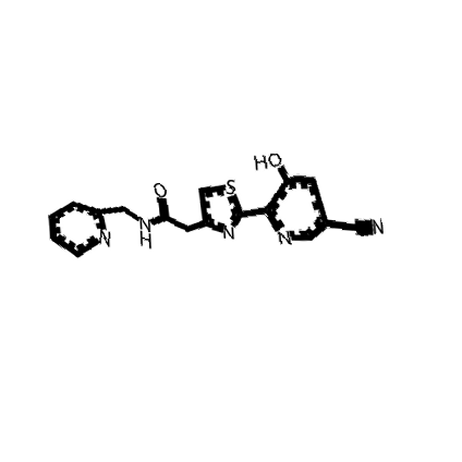 N#Cc1cnc(-c2nc(CC(=O)NCc3ccccn3)cs2)c(O)c1